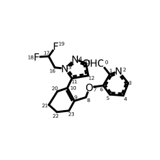 O=Cc1ncccc1OCC1=C(c2ccnn2CC(F)F)CCCC1